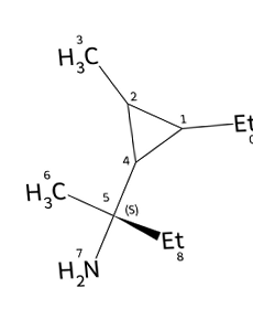 CCC1C(C)C1[C@@](C)(N)CC